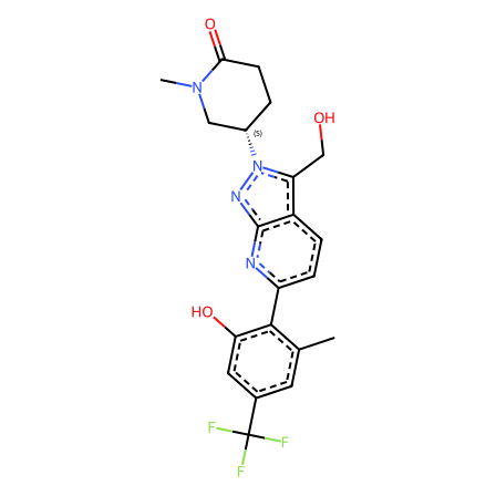 Cc1cc(C(F)(F)F)cc(O)c1-c1ccc2c(CO)n([C@H]3CCC(=O)N(C)C3)nc2n1